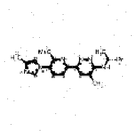 COc1nc(-c2cc(C)c(N[C@H](C)C(C)C)nn2)ccc1-n1cnc(C)c1